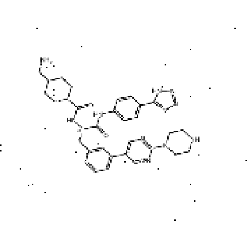 NCC1CCC(C(=O)N[C@@H](Cc2cccc(-c3cnc(N4CCNCC4)nc3)c2)C(=O)Nc2ccc(-c3nnn[nH]3)cc2)CC1